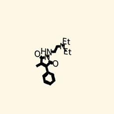 CCN(CC)CCNN1C(=O)C(C)=C(c2ccccc2)C1=O